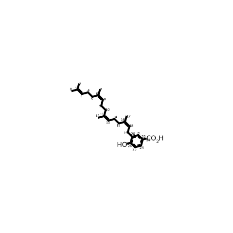 CC(C)=CCCC(C)=CCCC(C)=CCCC(C)=CCc1cc(C(=O)O)ccc1O